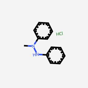 CN(Nc1ccccc1)c1ccccc1.Cl